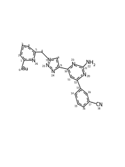 CCC(C)c1cccc(Cn2cc(-c3cc(-c4cccc(C#N)c4)nc(N)n3)nn2)n1